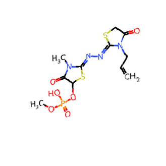 C=CCN1C(=O)CSC1=NN=C1SC(OP(=O)(O)OC)C(=O)N1C